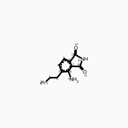 CC(C)CCc1ccc2c(c1N)C(=O)NC2=O